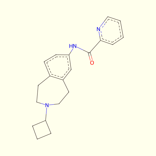 O=C(Nc1ccc2c(c1)CCN(C1CCC1)CC2)c1ccccn1